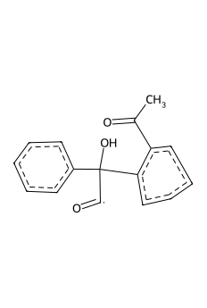 CC(=O)c1ccccc1C(O)([C]=O)c1ccccc1